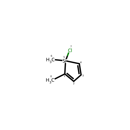 CC1=CC=C[Si]1(C)Cl